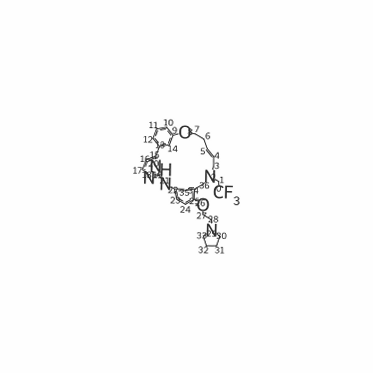 FC(F)(F)CN1C/C=C/CCOc2cccc(c2)-c2ccnc(n2)Nc2ccc(OCCN3CCCC3)c(c2)C1